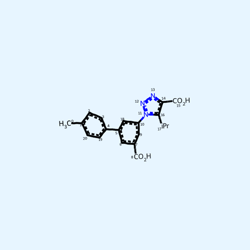 Cc1ccc(-c2cc(C(=O)O)cc(-n3nnc(C(=O)O)c3C(C)C)c2)cc1